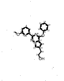 COc1cccc(-c2nc(Oc3ccccc3)c3cc(CCO)cn3n2)n1